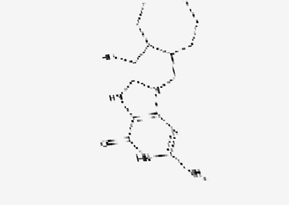 Nc1nc2c(c(=O)[nH]1)NCN2CC1CCCCCCC1CO